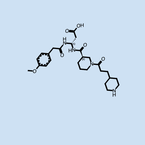 COc1ccc(CC(=O)N[C@H](CC(=O)O)NC(=O)[C@@H]2CCCN(C(=O)CCC3CCNCC3)C2)cc1